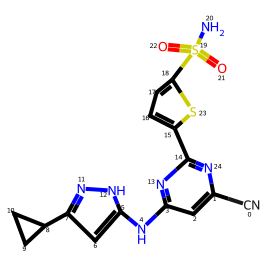 N#Cc1cc(Nc2cc(C3CC3)n[nH]2)nc(-c2ccc(S(N)(=O)=O)s2)n1